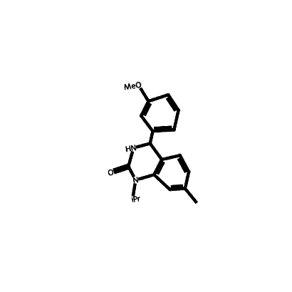 COc1cccc(C2NC(=O)N(C(C)C)c3cc(C)ccc32)c1